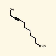 CCCCCCCCCCCC#CCO